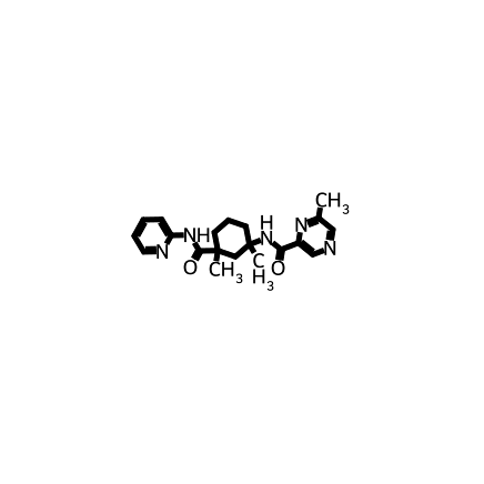 Cc1cncc(C(=O)NC2(C)CCCC(C)(C(=O)Nc3ccccn3)C2)n1